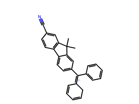 CC1(C)c2cc(C#N)ccc2-c2ccc(/C(=C3\C=CC=CC3)c3ccccc3)cc21